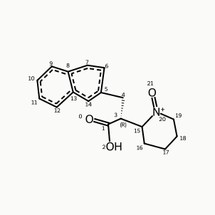 O=C(O)[C@H](Cc1ccc2ccccc2c1)C1CCCC[N+]1=O